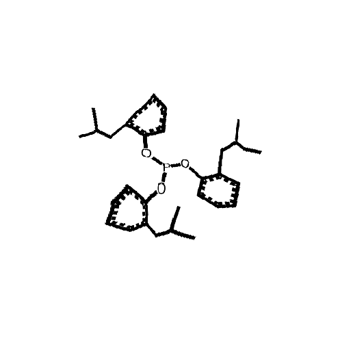 CC(C)Cc1ccccc1OP(Oc1ccccc1CC(C)C)Oc1ccccc1CC(C)C